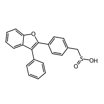 O=S(O)Cc1ccc(-c2oc3ccccc3c2-c2ccccc2)cc1